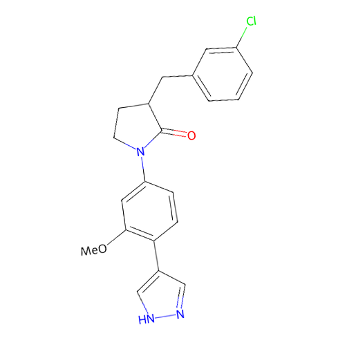 COc1cc(N2CCC(Cc3cccc(Cl)c3)C2=O)ccc1-c1cn[nH]c1